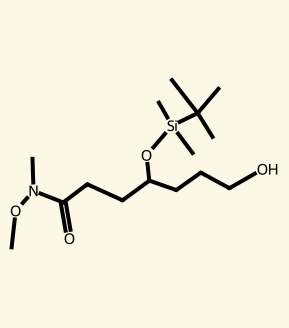 CON(C)C(=O)CCC(CCCO)O[Si](C)(C)C(C)(C)C